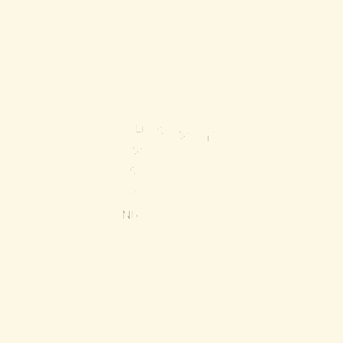 [Li+].[Nb+5].[S-2].[S-2].[S-2].[S-2].[S-2].[Ti+4]